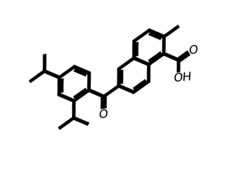 Cc1ccc2cc(C(=O)c3ccc(C(C)C)cc3C(C)C)ccc2c1C(=O)O